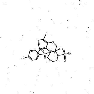 CCS(=O)(=O)N1CCC[C@]2(S(=O)(=O)c3ccc(Cl)cc3)c3c(F)ccc(F)c3OC[C@H]12